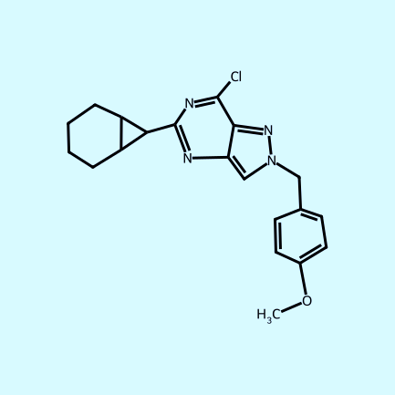 COc1ccc(Cn2cc3nc(C4C5CCCCC54)nc(Cl)c3n2)cc1